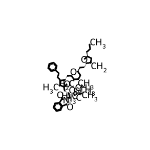 C=C1C(C[C@@H]2OC(C[C@@H](CN3C(=O)c4ccccc4C3=O)O[Si](C)(C)C(C)(C)C)[C@H](C)C2CCc2ccccc2)O[C@@H](CC[C@@H]2O[C@@H](CCCC)CC2=C)C[C@H]1C